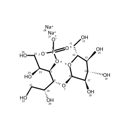 O=P([O-])([O-])O[C@@H]([C@H](O[C@H]1O[C@H](CO)[C@@H](O)[C@H](O)[C@H]1O)[C@H](O)CO)[C@@H](O)CO.[Na+].[Na+]